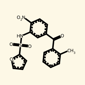 Cc1ccccc1C(=O)c1ccc([N+](=O)[O-])c(NS(=O)(=O)c2ccco2)c1